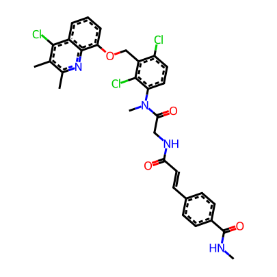 CNC(=O)c1ccc(C=CC(=O)NCC(=O)N(C)c2ccc(Cl)c(COc3cccc4c(Cl)c(C)c(C)nc34)c2Cl)cc1